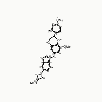 COc1ccc(C2COc3cc(Cn4cnc5cc(N6CC(OC)C6)cnc54)cc(OC)c3O2)c(C)n1